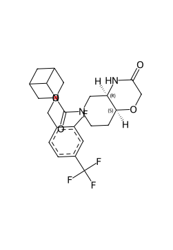 O=C1CO[C@H]2CCN(C(=O)N3CC4CC(C3)C4OCc3ccc(C(F)(F)F)cc3F)C[C@H]2N1